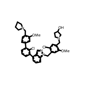 COc1cc(-c2cccc(-c3cccc4c3cnn4Cc3cc(OC)c(CN4CCC(O)C4)cc3Cl)c2Cl)ccc1CN1CCCC1